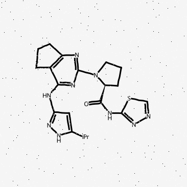 CC(C)c1cc(Nc2nc(N3CCC[C@H]3C(=O)Nc3nncs3)nc3c2CCC3)n[nH]1